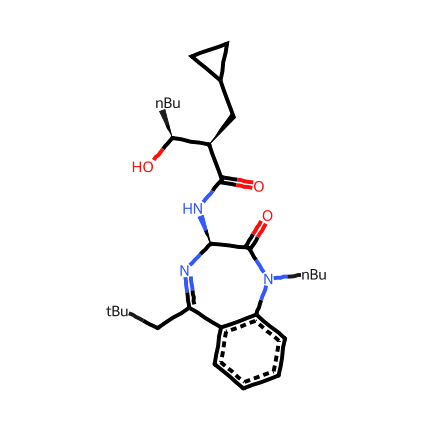 CCCC[C@H](O)[C@@H](CC1CC1)C(=O)N[C@@H]1N=C(CC(C)(C)C)c2ccccc2N(CCCC)C1=O